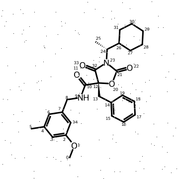 COc1cc(C)cc(CNC(=O)[C@@]2(Cc3ccccc3)OC(=O)N([C@H](C)C3CCCCC3)C2=O)c1